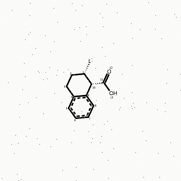 C[C@H]1CCc2ccccc2[C@H]1C(=O)O